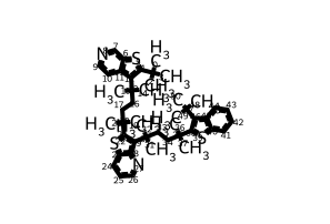 CC(C)(C)c1sc2cnccc2c1C(C)(C)CCC(C)(C)c1sc2cccnc2c1C(C)(C)CCC(C)(C)c1sc2ccccc2c1C(C)(C)C